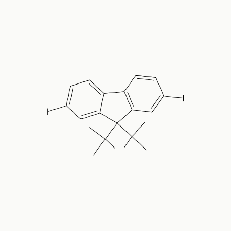 CC(C)(C)C1(C(C)(C)C)c2cc(I)ccc2-c2ccc(I)cc21